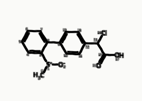 C[S+]([O-])c1ccccc1-c1ccc(C(Cl)C(=O)O)cc1